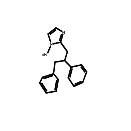 CCCn1ccnc1CC(Cc1ccccc1)c1ccccc1